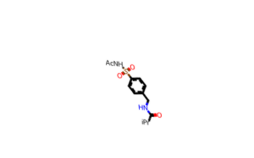 CC(=O)NS(=O)(=O)c1ccc(CNC(=O)C(C)C)cc1